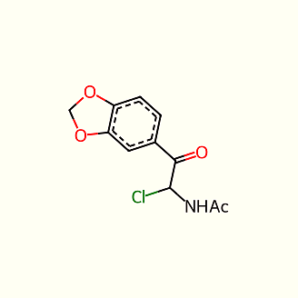 CC(=O)NC(Cl)C(=O)c1ccc2c(c1)OCO2